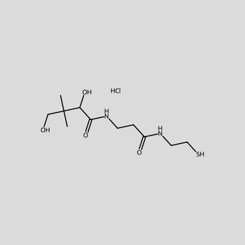 CC(C)(CO)C(O)C(=O)NCCC(=O)NCCS.Cl